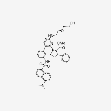 COC(=O)C1C(c2ccccc2)CCN1c1nc(NCCOCCO)ncc1-c1cccc(NS(=O)(=O)c2cccc3c(N(C)C)cccc23)c1